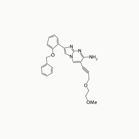 COCCOCC#Cc1cn2cc(-c3ccccc3OCc3ccccc3)nc2nc1N